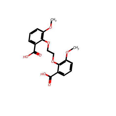 COc1cccc(C(=O)O)c1OCCOc1c(OC)cccc1C(=O)O